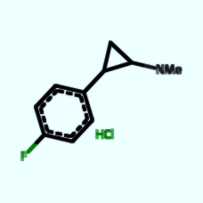 CNC1CC1c1ccc(F)cc1.Cl